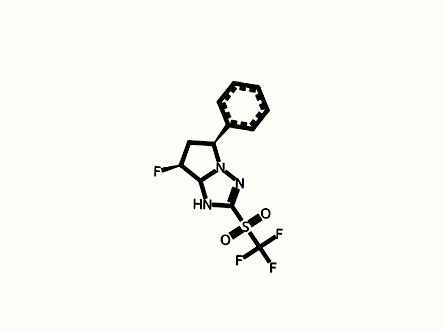 O=S(=O)(C1=NN2C(N1)[C@@H](F)C[C@H]2c1ccccc1)C(F)(F)F